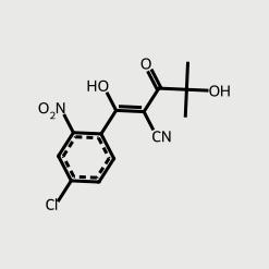 CC(C)(O)C(=O)/C(C#N)=C(\O)c1ccc(Cl)cc1[N+](=O)[O-]